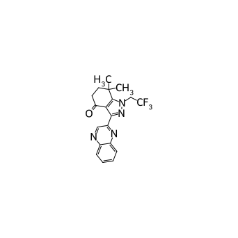 CC1(C)CCC(=O)c2c(-c3cnc4ccccc4n3)nn(CC(F)(F)F)c21